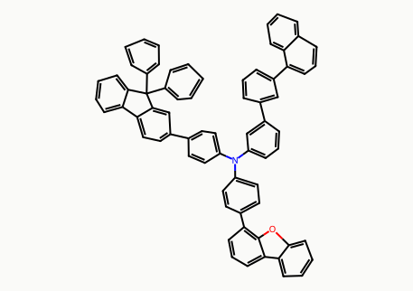 c1ccc(C2(c3ccccc3)c3ccccc3-c3ccc(-c4ccc(N(c5ccc(-c6cccc7c6oc6ccccc67)cc5)c5cccc(-c6cccc(-c7cccc8ccccc78)c6)c5)cc4)cc32)cc1